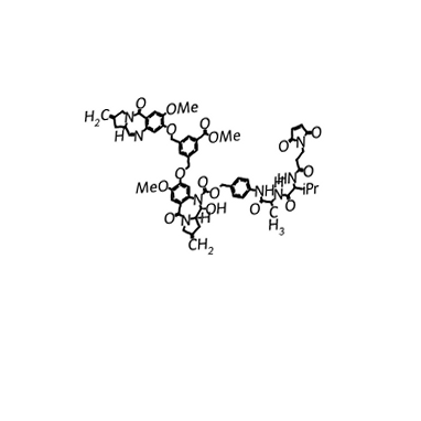 C=C1C[C@H]2C=Nc3cc(OCc4cc(COc5cc6c(cc5OC)C(=O)N5CC(=C)C[C@H]5[C@H](O)N6C(=O)OCc5ccc(NC(=O)C(C)NC(=O)C(NC(=O)CCN6C(=O)C=CC6=O)C(C)C)cc5)cc(C(=O)OC)c4)c(OC)cc3C(=O)N2C1